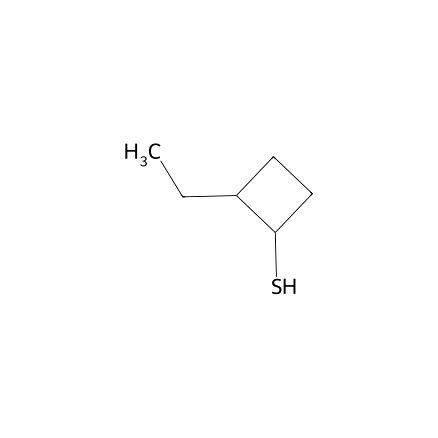 CCC1CCC1S